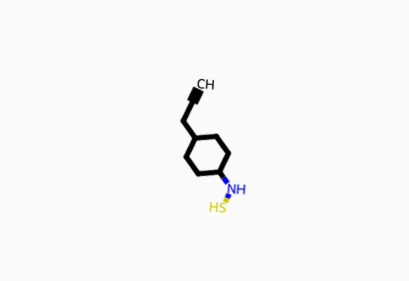 C#CCC1CCC(NS)CC1